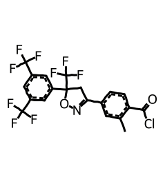 Cc1cc(C2=NOC(c3cc(C(F)(F)F)cc(C(F)(F)F)c3)(C(F)(F)F)C2)ccc1C(=O)Cl